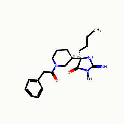 CCCC[C@]1([C@@H]2CCCN(C(=O)Cc3ccccc3)C2)NC(=N)N(C)C1=O